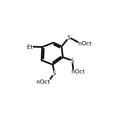 CCCCCCCCSc1cc(CC)cc(SCCCCCCCC)c1SCCCCCCCC